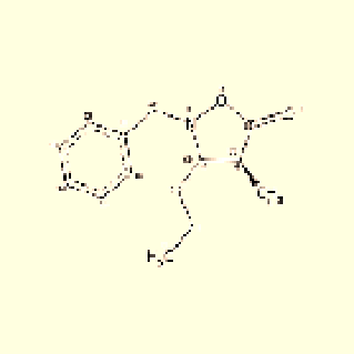 CCC[C@H]1[C@H](C)C(=O)ON1Cc1ccccc1